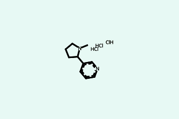 CN1CCCC1c1cccnc1.Cl.Cl.Cl